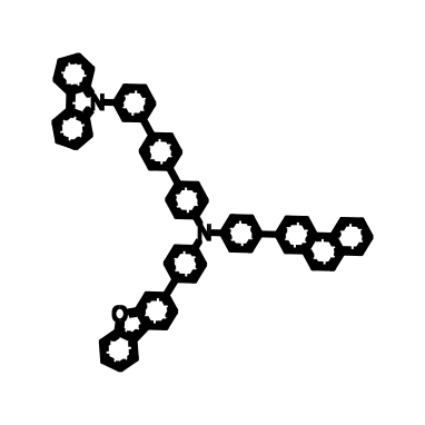 c1cc(-c2ccc(-c3ccc(N(c4ccc(-c5ccc6c(ccc7ccccc76)c5)cc4)c4ccc(-c5ccc6c(c5)oc5ccccc56)cc4)cc3)cc2)cc(-n2c3ccccc3c3ccccc32)c1